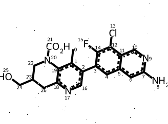 Cc1c(-c2cc3cc(N)ncc3c(Cl)c2F)cnc2c1N(C(=O)O)CC(CO)C2